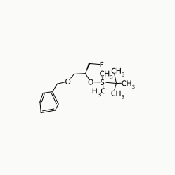 CC(C)(C)[Si](C)(C)O[C@H](CF)COCc1ccccc1